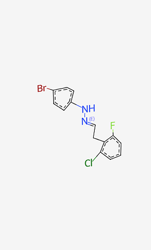 Fc1cccc(Cl)c1C/C=N/Nc1ccc(Br)cc1